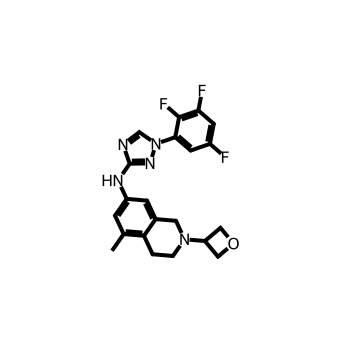 Cc1cc(Nc2ncn(-c3cc(F)cc(F)c3F)n2)cc2c1CCN(C1COC1)C2